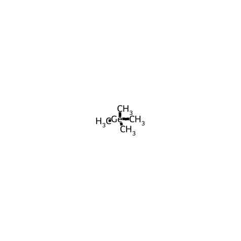 [CH3][Ge]([CH3])([CH3])[CH3]